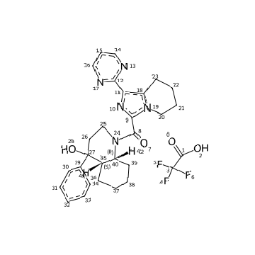 O=C(O)C(F)(F)F.O=C(c1nc(-c2ncccn2)c2n1CCCC2)N1CCC(O)(c2ccccc2)[C@H]2CCCC[C@H]21